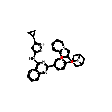 c1ccc2c(Nc3cc(C4CC4)[nH]n3)nc(-c3ccc(N4CC5CC(C4)N5Cc4cn5ccccc5n4)nc3)nc2c1